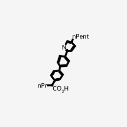 CCCCCc1ccc(-c2ccc(-c3ccc(C(CCC)C(=O)O)cc3)cc2)nc1